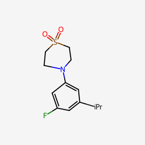 CC(C)c1cc(F)cc(N2CCS(=O)(=O)CC2)c1